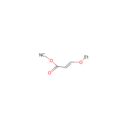 CCOC=CC(=O)OC#N